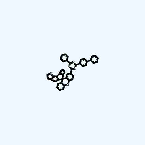 c1ccc(-c2ccc(-c3nc(-c4ccccc4)nc(-c4ccc5c(c4)C4(c6ccccc6S5)c5ccccc5-c5c4ccc4ccsc54)n3)cc2)cc1